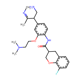 C/N=C(/C)C(CN)c1ccc(NC(=O)C2COc3c(F)cccc3C2)c(OCCN(C)C)c1